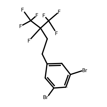 FC(F)(F)C(F)(CCc1cc(Br)[c]c(Br)c1)C(F)(F)F